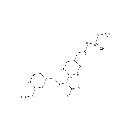 CC(C)C(OCC1COCC(CO)O1)C1COC(COCC(O)CO)CO1